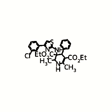 CCOC(=O)C1=C(C)NC(C)C(Nc2nc(-c3cccc(Cl)c3)cs2)(C(=O)OCC)C1c1ccccc1